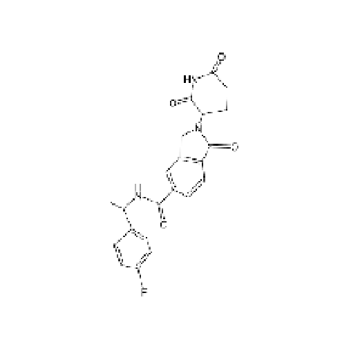 CC(NC(=O)c1ccc2c(c1)CN(C1CCC(=O)NC1=O)C2=O)c1ccc(F)cc1